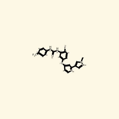 Cn1cc(-c2cc(Oc3ccc(F)c(NC(=O)Nc4ccc(C(F)(F)F)cc4)c3)ccn2)cn1